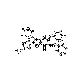 Cc1nc(-c2nnc(NC3N=C(c4ccccc4)c4ccccc4NC3=O)o2)c(C2CCOCC2)s1